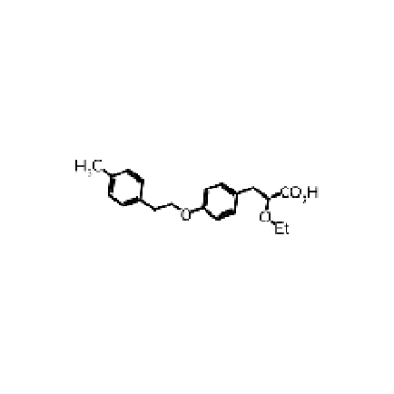 CCO[C@@H](Cc1ccc(OCCc2ccc(C)cc2)cc1)C(=O)O